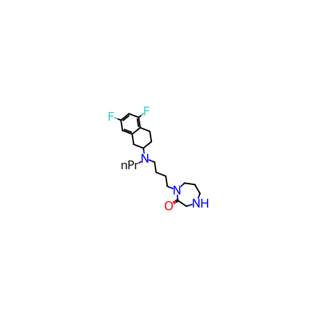 CCCN(CCCCN1CCCNCC1=O)C1CCc2c(F)cc(F)cc2C1